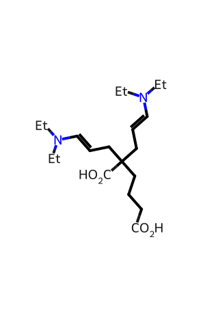 CCN(C=CCC(CC=CN(CC)CC)(CCCC(=O)O)C(=O)O)CC